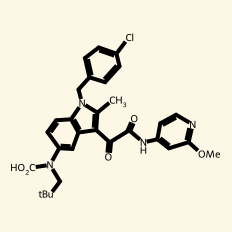 COc1cc(NC(=O)C(=O)c2c(C)n(Cc3ccc(Cl)cc3)c3ccc(N(CC(C)(C)C)C(=O)O)cc23)ccn1